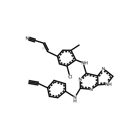 C#Cc1ccc(Nc2nc(Nc3c(C)cc(/C=C/C#N)cc3Cl)c3nc[nH]c3n2)cc1